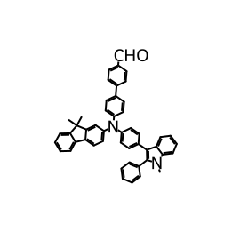 Cn1c(-c2ccccc2)c(-c2ccc(N(c3ccc(-c4ccc(C=O)cc4)cc3)c3ccc4c(c3)C(C)(C)c3ccccc3-4)cc2)c2ccccc21